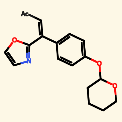 CC(=O)C=C(c1ccc(OC2CCCCO2)cc1)c1ncco1